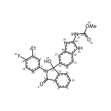 CCc1cc(N2C(=O)c3ccccc3C2(O)c2ccc3[nH]c(NC(=O)OC)nc3c2)ccc1F